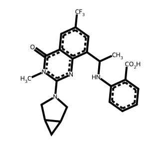 CC(Nc1ccccc1C(=O)O)c1cc(C(F)(F)F)cc2c(=O)n(C)c(N3CC4CC4C3)nc12